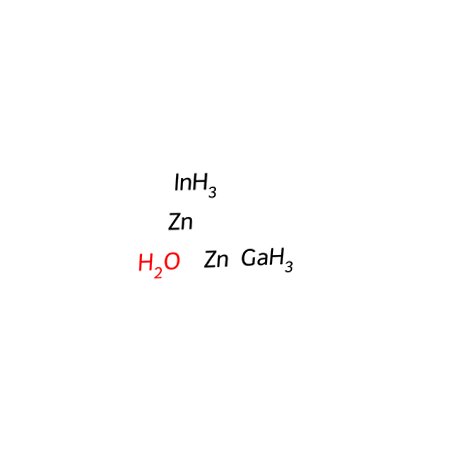 O.[GaH3].[InH3].[Zn].[Zn]